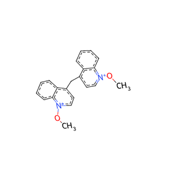 CO[n+]1ccc(Cc2cc[n+](OC)c3ccccc23)c2ccccc21